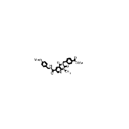 COC(=O)c1ccc(Cn2c(=O)c3cc(C(=O)NCc4ccc(OC)cc4)cnc3n(C)c2=O)cc1